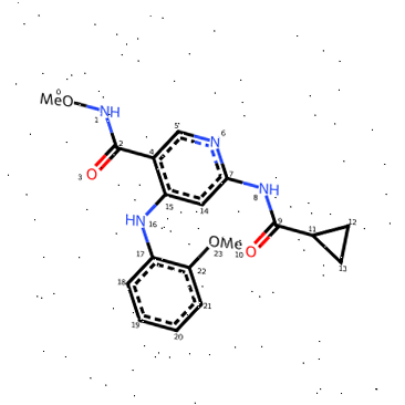 CONC(=O)c1cnc(NC(=O)C2CC2)cc1Nc1ccccc1OC